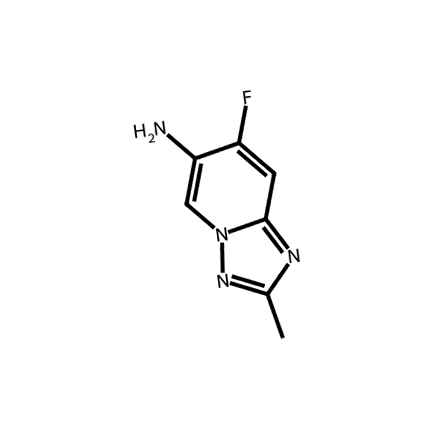 Cc1nc2cc(F)c(N)cn2n1